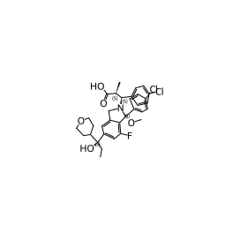 CC[C@@](O)(c1cc(F)c2c(c1)CN([C@H](c1ccc(Cl)cc1)[C@H](C)C(=O)O)[C@@]2(OC)c1ccc(Cl)cc1)C1CCOCC1